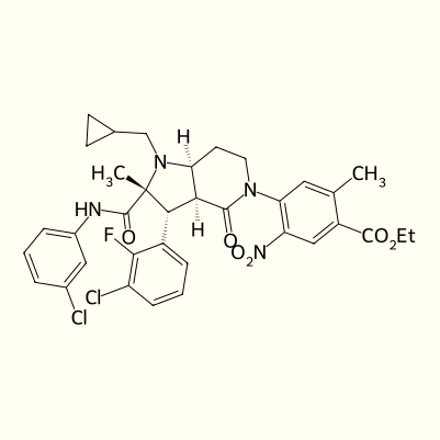 CCOC(=O)c1cc([N+](=O)[O-])c(N2CC[C@H]3[C@@H](C2=O)[C@H](c2cccc(Cl)c2F)[C@](C)(C(=O)Nc2cccc(Cl)c2)N3CC2CC2)cc1C